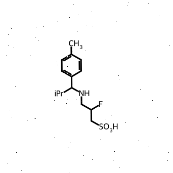 Cc1ccc(C(NCC(F)CS(=O)(=O)O)C(C)C)cc1